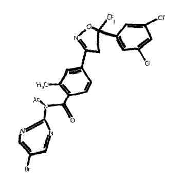 CC(=O)N(C(=O)c1ccc(C2=NOC(c3cc(Cl)cc(Cl)c3)(C(F)(F)F)C2)cc1C)c1ncc(Br)cn1